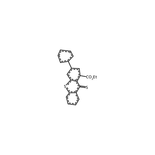 CCOC(=O)c1cc(-c2ccccc2)cc2sc3ccccc3c(=S)c12